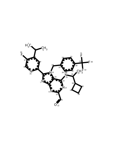 CC(C)c1cc(-c2nc3nc(C=O)nc(NC(C)C4CCC4)c3n2Cc2ccc(C(F)(F)F)cc2)ncc1F